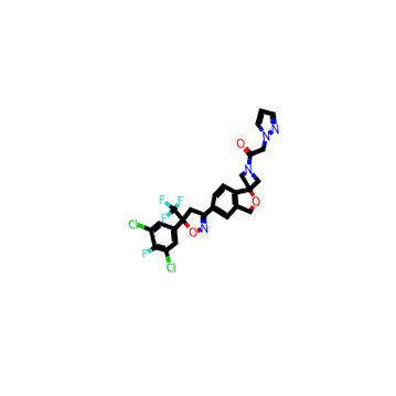 O=C(Cn1cccn1)N1CC2(C1)OCc1cc(C3=NOC(c4cc(Cl)c(F)c(Cl)c4)(C(F)(F)F)C3)ccc12